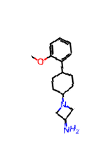 COc1ccccc1C1CCC(N2CC(N)C2)CC1